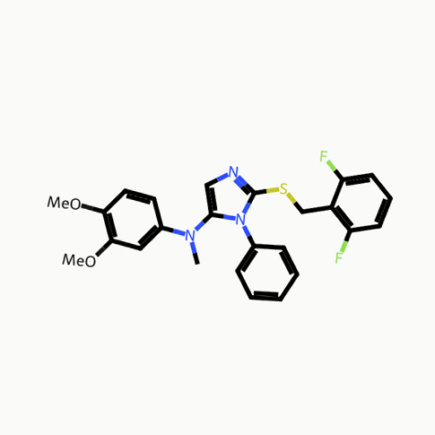 COc1ccc(N(C)c2cnc(SCc3c(F)cccc3F)n2-c2ccccc2)cc1OC